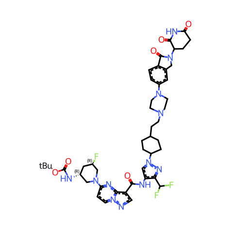 CC(C)(C)OC(=O)N[C@@H]1C[C@@H](F)CN(c2ccn3ncc(C(=O)Nc4cn(C5CCC(CCN6CCN(c7ccc8c(c7)CN(C7CCC(=O)NC7=O)C8=O)CC6)CC5)nc4C(F)F)c3n2)C1